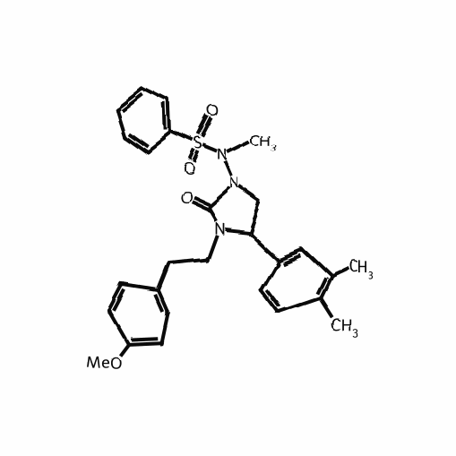 COc1ccc(CCN2C(=O)N(N(C)S(=O)(=O)c3ccccc3)CC2c2ccc(C)c(C)c2)cc1